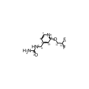 NC(=O)NCc1ccnc(OCC(F)F)c1